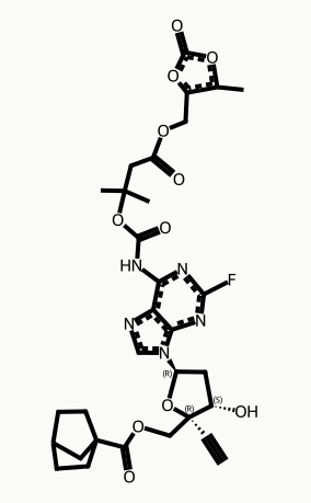 C#C[C@]1(COC(=O)C23CCC(CC2)C3)O[C@@H](n2cnc3c(NC(=O)OC(C)(C)CC(=O)OCc4oc(=O)oc4C)nc(F)nc32)C[C@@H]1O